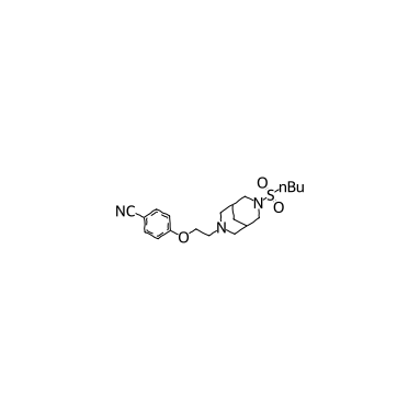 CCCCS(=O)(=O)N1CC2CC(CN(CCOc3ccc(C#N)cc3)C2)C1